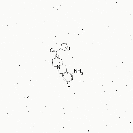 Cc1c(N)cc(F)cc1CN1CCN(C(=O)C2CCOC2)CC1